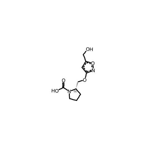 O=C(O)N1CCC[C@H]1COc1cc(CO)on1